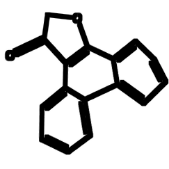 O=C1COc2c1c1ccccc1c1ccccc21